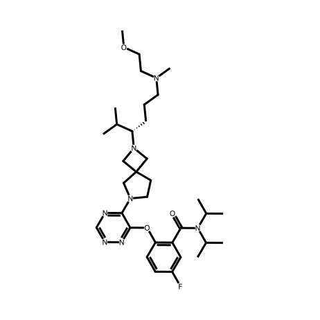 COCCN(C)CCC[C@@H](C(C)C)N1CC2(CCN(c3ncnnc3Oc3ccc(F)cc3C(=O)N(C(C)C)C(C)C)C2)C1